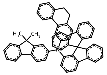 CC1(C)c2ccccc2-c2ccc(N(c3ccc4c(c3)-c3ccccc3CC4)c3cccc4c3C3(c5ccccc5-c5ccccc53)c3ccccc3-4)cc21